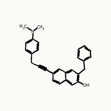 CN(C)c1ccc(CC#Cc2ccc3cc(O)c(Cc4ccccc4)cc3c2)cc1